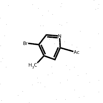 CC(=O)c1cc(C)c(Br)cn1